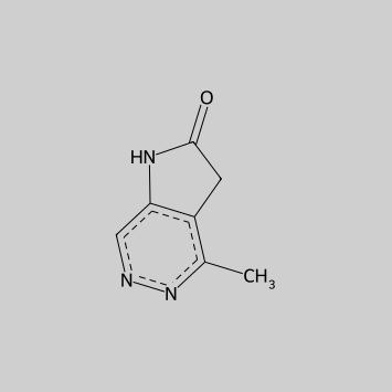 Cc1nncc2c1CC(=O)N2